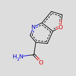 NC(=O)c1cnc2ccoc2c1